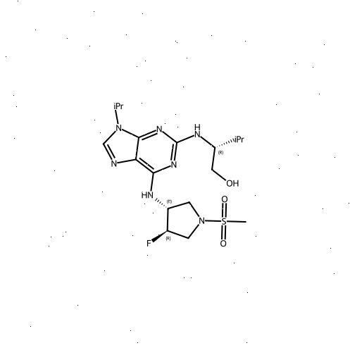 CC(C)[C@H](CO)Nc1nc(N[C@@H]2CN(S(C)(=O)=O)C[C@H]2F)c2ncn(C(C)C)c2n1